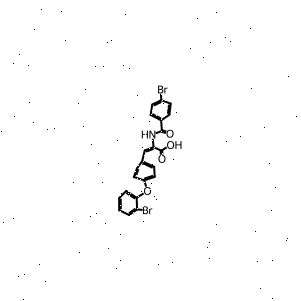 O=C(O)/C(=C\c1ccc(Oc2ccccc2Br)cc1)NC(=O)c1ccc(Br)cc1